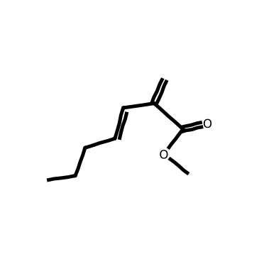 C=C(C=CCCC)C(=O)OC